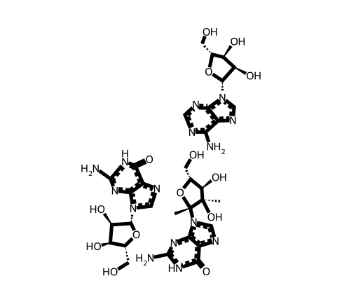 C[C@@]1(n2cnc3c(=O)[nH]c(N)nc32)O[C@H](CO)[C@@H](O)[C@@]1(C)O.Nc1nc2c(ncn2[C@@H]2O[C@H](CO)[C@@H](O)[C@H]2O)c(=O)[nH]1.Nc1ncnc2c1ncn2[C@@H]1O[C@H](CO)[C@@H](O)[C@H]1O